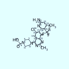 Cc1nc(N2CCN(C(=O)O)CC2)c2cc(Cl)c(-c3nc(N)cc(C)c3C(F)(F)F)cc2n1